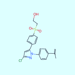 C=C(C)c1ccc(-n2nc(Cl)cc2-c2ccc(S(=O)(=O)CCO)cc2)cc1